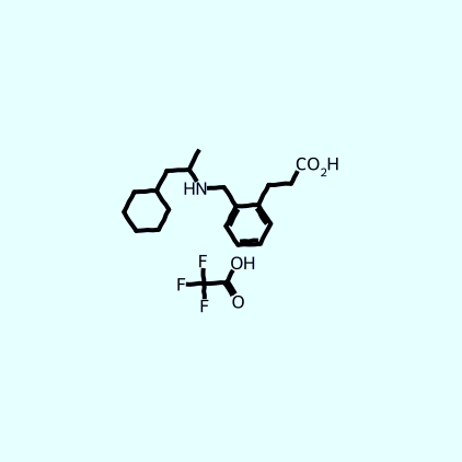 CC(CC1CCCCC1)NCc1ccccc1CCC(=O)O.O=C(O)C(F)(F)F